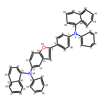 c1ccc(N(c2ccc(-c3cc4cc(N(c5ccccc5)c5cccc6ccccc56)ccc4o3)cc2)c2cccc3ccccc23)cc1